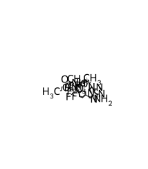 CCCOC(=O)C(C)(C)NP(=O)(CO[C@H](C)Cn1cnc2c(N)ncnc21)N[C@@H](c1ccc(C#N)cc1)C(F)(F)F